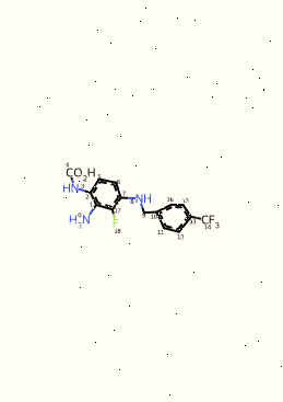 Nc1c(NC(=O)O)ccc(NCc2ccc(C(F)(F)F)cc2)c1F